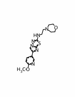 COc1ccc(-c2cn3nc(NCCN4CCOCC4)sc3n2)cn1